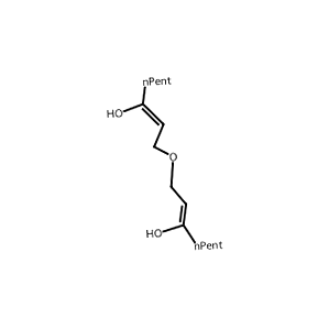 CCCCCC(O)=CCOCC=C(O)CCCCC